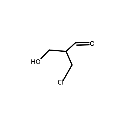 O=CC([CH]O)CCl